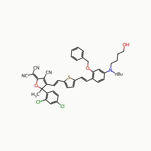 CCCCN(CCCCO)c1ccc(/C=C/c2ccc(/C=C/C3=C(C#N)C(=C(C#N)C#N)OC3(C)c3ccc(Cl)cc3Cl)s2)c(OCc2ccccc2)c1